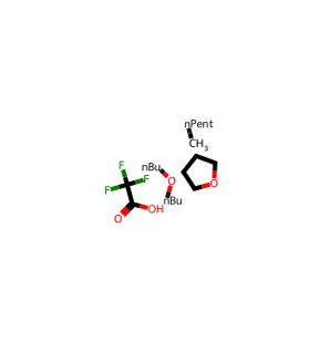 C1CCOC1.CCCCCC.CCCCOCCCC.O=C(O)C(F)(F)F